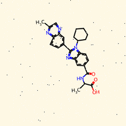 Cc1cnc2cc(-c3nc4cc(C(=O)NC(C)C(=O)O)ccc4n3C3CCCCC3)ccc2n1